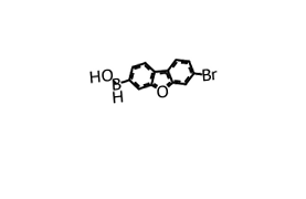 OBc1ccc2c(c1)oc1cc(Br)ccc12